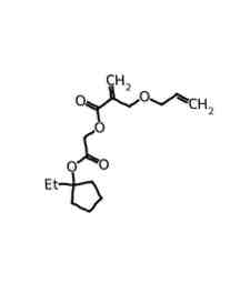 C=CCOCC(=C)C(=O)OCC(=O)OC1(CC)CCCC1